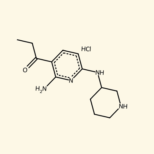 CCC(=O)c1ccc(NC2CCCNC2)nc1N.Cl